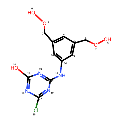 OOCc1cc(COO)cc(Nc2nc(O)nc(Cl)n2)c1